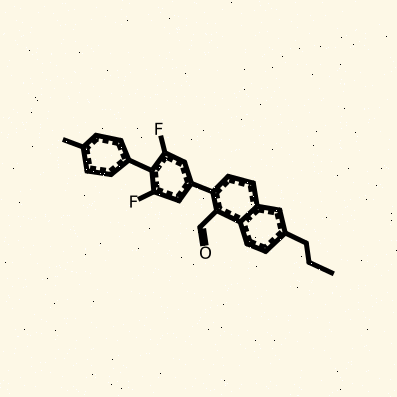 CCCc1ccc2c(C=O)c(-c3cc(F)c(-c4ccc(C)cc4)c(F)c3)ccc2c1